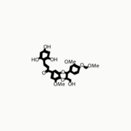 COCOc1ccc(C2Oc3cc(C(=O)C=Cc4c(O)cc(O)cc4O)cc(OC)c3OC2CO)cc1OC